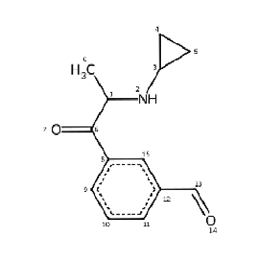 CC(NC1CC1)C(=O)c1cccc(C=O)c1